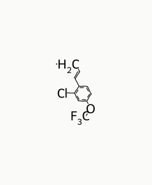 [CH2]C=Cc1ccc(OC(F)(F)F)cc1Cl